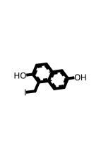 Oc1ccc2c(CI)c(O)ccc2c1